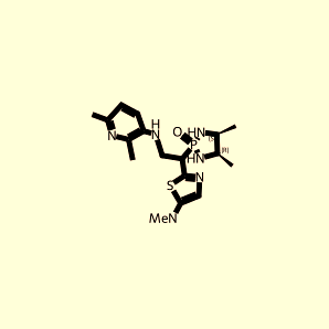 CNc1cnc(C(CNc2ccc(C)nc2C)P2(=O)N[C@@H](C)[C@@H](C)N2)s1